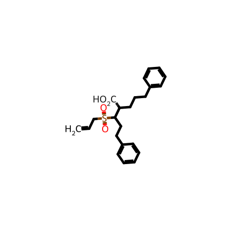 C=CCS(=O)(=O)C(CCc1ccccc1)C(CCCc1ccccc1)C(=O)O